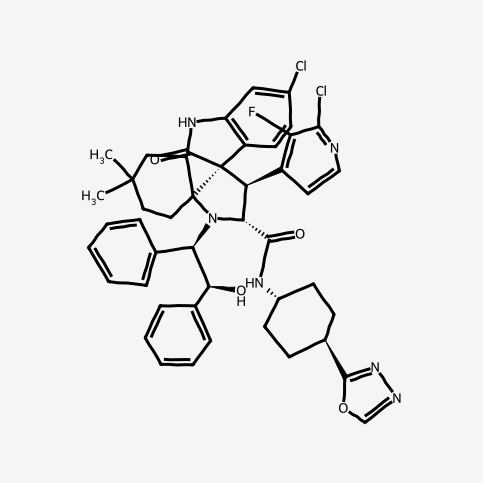 CC1(C)CCC2(CC1)N([C@H](c1ccccc1)[C@@H](O)c1ccccc1)[C@@H](C(=O)N[C@H]1CC[C@H](c3nnco3)CC1)[C@H](c1ccnc(Cl)c1F)[C@]21C(=O)Nc2cc(Cl)ccc21